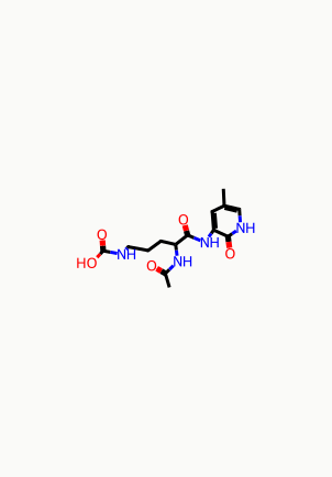 CC(=O)NC(CCCNC(=O)O)C(=O)Nc1cc(C)c[nH]c1=O